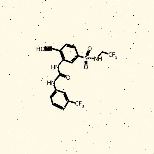 C#Cc1ccc(S(=O)(=O)NCC(F)(F)F)cc1NC(=O)Nc1cccc(C(F)(F)F)c1